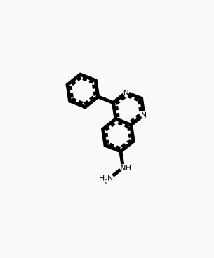 NNc1ccc2c(-c3ccccc3)ncnc2c1